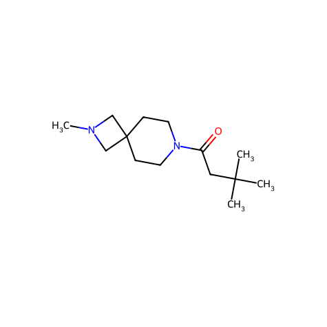 CN1CC2(CCN(C(=O)CC(C)(C)C)CC2)C1